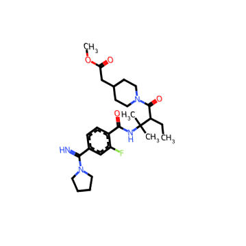 CCC(C(=O)N1CCC(CC(=O)OC)CC1)C(C)(C)NC(=O)c1ccc(C(=N)N2CCCC2)cc1F